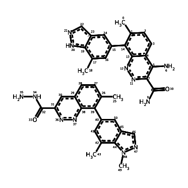 Cc1ccc2c(N)c(C(N)=O)nnc2c1-c1cc(C)c2[nH]ncc2c1.Cc1ccc2cc(C(=O)NN)nnc2c1-c1cc(C)c2c(cnn2C)c1